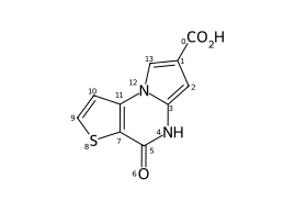 O=C(O)c1cc2[nH]c(=O)c3sccc3n2c1